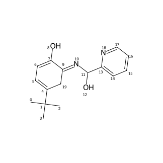 CC(C)(C)C1=CC=C(O)C(=NC(O)c2ccccn2)C1